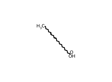 CCCCC/C=C/C/C=C/CCCCCCCCCC(=O)O